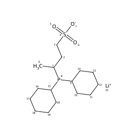 CC(CCS(=O)(=O)[O-])P(C1CCCCC1)C1CCCCC1.[Li+]